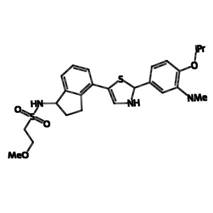 CNc1cc(C2NC=C(c3cccc4c3CCC4NS(=O)(=O)CCOC)S2)ccc1OC(C)C